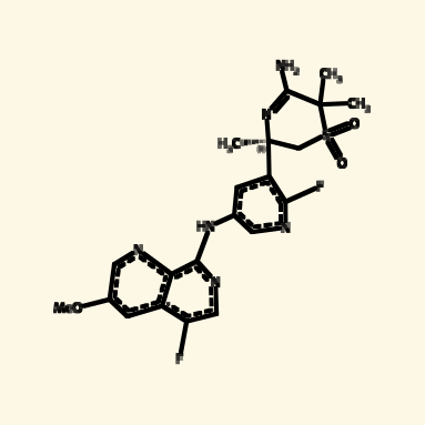 COc1cnc2c(Nc3cnc(F)c([C@]4(C)CS(=O)(=O)C(C)(C)C(N)=N4)c3)ncc(F)c2c1